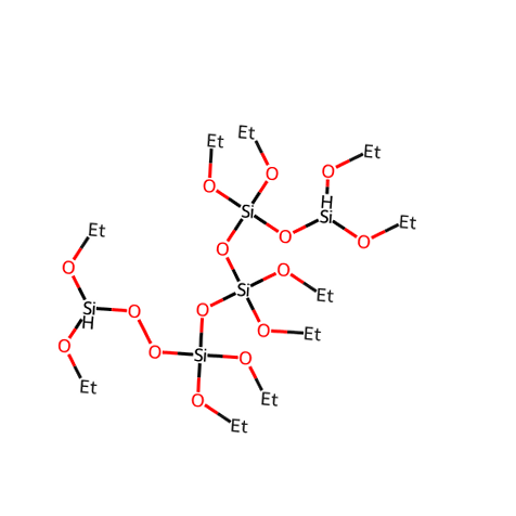 CCO[SiH](OCC)OO[Si](OCC)(OCC)O[Si](OCC)(OCC)O[Si](OCC)(OCC)O[SiH](OCC)OCC